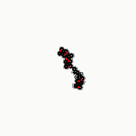 CC1(C)c2cc(-c3ccc4c(c3)-c3ccc(-n5c(=O)n(-c6ccc7c(c6)C6(c8ccccc8-c8ccccc86)c6ccccc6-7)c(=O)c6ccccc65)cc3C43c4ccccc4-c4ccccc43)ccc2-c2ccc(-n3c(=O)c4ccccc4n(-c4ccc5c(c4)C4(c6ccccc6-c6ccccc64)c4ccccc4-5)c3=O)cc21